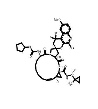 COc1ccc2nc(C(C)C)c3c(c2c1)C(F)(F)C[C@]1(C[C@H]2C(=O)N[C@]4(C(=O)N[S@+]([O-])C5(C)CC5)C[C@H]4/C=C\CCCCC[C@H](NC(=O)OC4CCCC4)C(=O)N2C1)O3